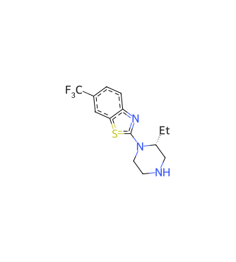 CC[C@@H]1CNCCN1c1nc2ccc(C(F)(F)F)cc2s1